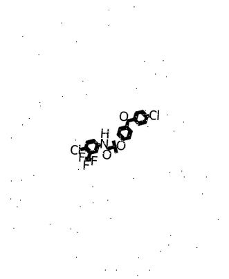 CC(C)(Oc1ccc(C(=O)c2ccc(Cl)cc2)cc1)C(=O)Nc1ccc(Cl)c(C(F)(F)F)c1